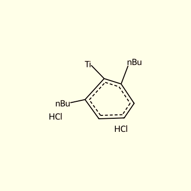 CCCCc1cccc(CCCC)[c]1[Ti].Cl.Cl